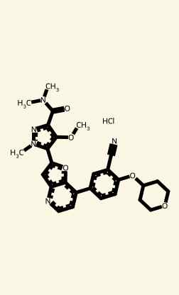 COc1c(C(=O)N(C)C)nn(C)c1-c1cc2nccc(-c3ccc(OC4CCOCC4)c(C#N)c3)c2o1.Cl